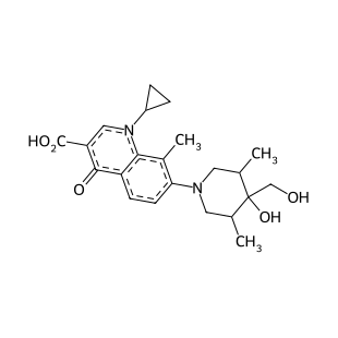 Cc1c(N2CC(C)C(O)(CO)C(C)C2)ccc2c(=O)c(C(=O)O)cn(C3CC3)c12